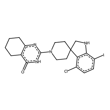 O=c1[nH]c(N2CCC3(CC2)CNc2c(I)ccc(Cl)c23)nc2c1CCCC2